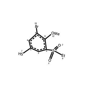 CCS(=O)(=O)c1cc(S)cc(Br)c1OC